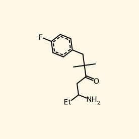 CCC(N)CC(=O)C(C)(C)Cc1ccc(F)cc1